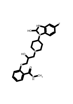 CNC(=O)c1ccccc1OCC(O)CN1CCC(N2c3ccc(F)cc3NC2O)CC1